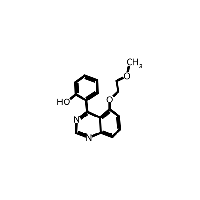 COCCOc1cccc2ncnc(-c3ccccc3O)c12